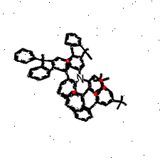 CC(C)(C)c1cc(-c2cccc3cccc(-c4ccccc4N(c4ccc5c(c4)C(C)(C)c4ccccc4-5)c4ccccc4-c4cccc5c4-c4ccccc4C5(C)c4ccccc4)c23)cc(C(C)(C)C)c1